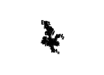 CCN(CC)c1ccc2cc(C(=O)NCCCC[C@H](NC(=O)[C@H](CCCCN)NC(=O)[C@H](Cc3ccccc3)NC(=O)[C@H](CCCCN)NC(=O)OCC3c4ccccc4-c4ccccc43)C(N)=O)c(=O)oc2c1